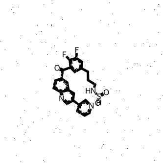 O=C(c1ccc2ncc(-c3cccnc3)cc2c1)c1cc(CCCN[SH](=O)=O)cc(F)c1F